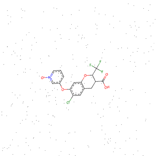 O=C(O)C1Cc2cc(Cl)c(Oc3ccc[n+]([O-])c3)cc2OC1C(F)(F)F